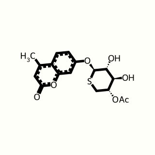 CC(=O)O[C@@H]1CS[C@@H](Oc2ccc3c(C)cc(=O)oc3c2)[C@H](O)[C@H]1O